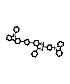 c1ccc(-c2nc(-c3ccc(-n4c5ccccc5c5ccccc54)cc3)nc3ccc(-c4ccc(-c5ccc6c7ccccc7n(-c7ccccc7)c6c5)cc4)cc23)cc1